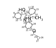 CCn1c(C(O)(c2ccccc2)c2ccccc2)nc2ccc(OCC3CC3)cc21